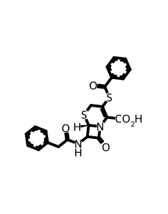 O=C(Cc1ccccc1)NC1C(=O)N2C(C(=O)O)=C(SC(=O)c3ccccc3)CS[C@@H]12